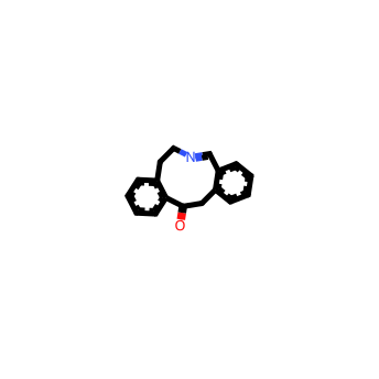 O=C1Cc2ccccc2/C=N/CCc2ccccc21